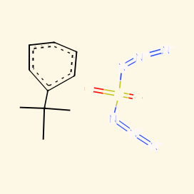 CC(C)(C)c1ccccc1.[N-]=[N+]=NS(=O)(=O)N=[N+]=[N-]